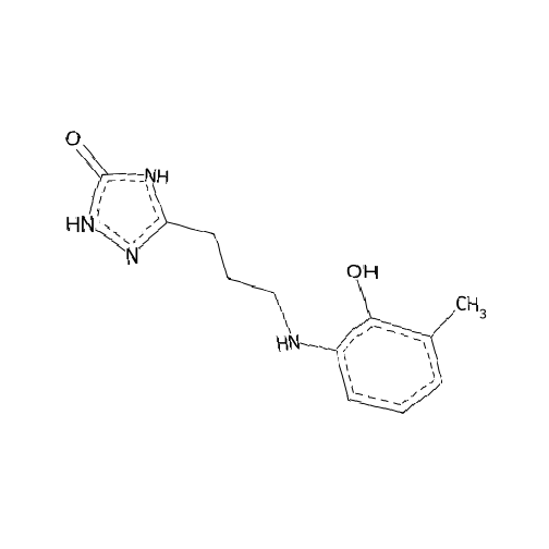 Cc1cccc(NCCCc2n[nH]c(=O)[nH]2)c1O